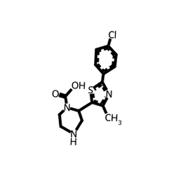 Cc1nc(-c2ccc(Cl)cc2)sc1C1CNCCN1C(=O)O